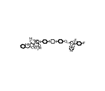 CC(NC(Cc1ccccc1)C(=O)O)[C@H](C)n1ncn(-c2ccc(N3CCN(c4ccc(OC[C@@H]5CO[C@@](Cn6cncn6)(c6ccc(F)cc6F)O5)cc4)CC3)cc2)c1=O